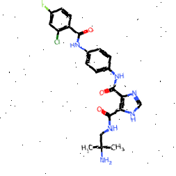 CC(C)(N)CNC(=O)c1[nH]cnc1C(=O)Nc1ccc(NC(=O)c2ccc(F)cc2Cl)cc1